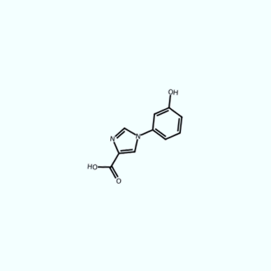 O=C(O)c1cn(-c2cccc(O)c2)cn1